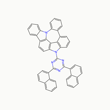 c1ccc2c(-c3nc(-c4cccc5ccccc45)nc(-n4c5cccc6c7ccccc7n7c8ccccc8c8ccc4c(c65)c87)n3)cccc2c1